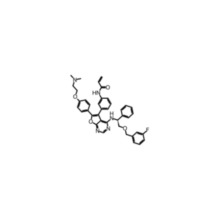 C=CC(=O)Nc1cccc(-c2c(-c3ccc(OCCN(C)C)cc3)oc3ncnc(N[C@H](COCc4cccc(F)c4)c4ccccc4)c23)c1